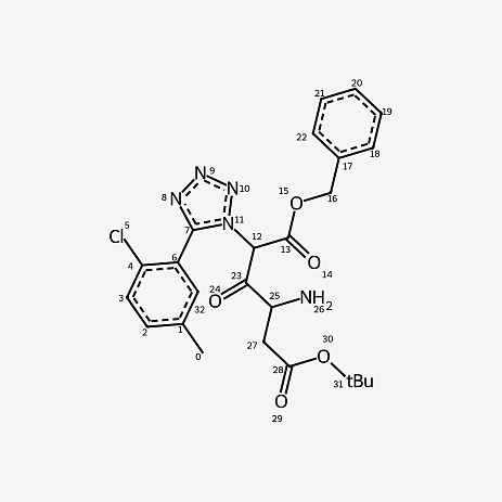 Cc1ccc(Cl)c(-c2nnnn2C(C(=O)OCc2ccccc2)C(=O)C(N)CC(=O)OC(C)(C)C)c1